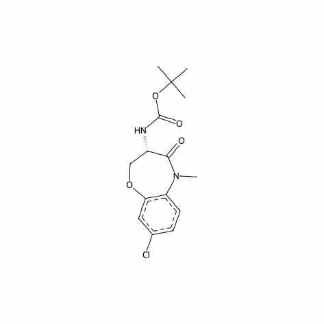 CN1C(=O)[C@@H](NC(=O)OC(C)(C)C)COc2cc(Cl)ccc21